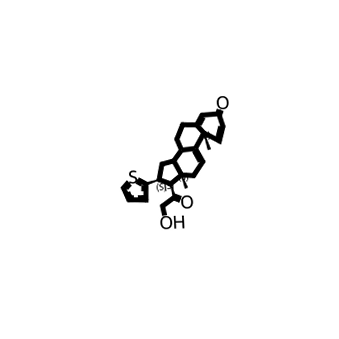 C[C@]12C=CC(=O)C=C1CCC1C2=CC[C@@]2(C)C1C[C@H](c1cccs1)[C@@H]2C(=O)CO